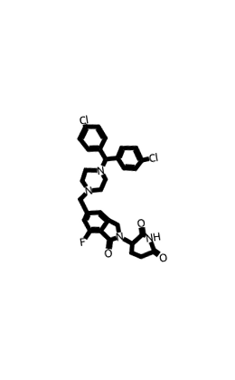 O=C1CCC(N2Cc3cc(CN4CCN(C(c5ccc(Cl)cc5)c5ccc(Cl)cc5)CC4)cc(F)c3C2=O)C(=O)N1